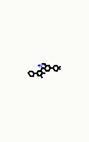 Cc1cc(C2CCCCC2)cc(-c2c3ccc(C4CCC(C)(C)CC4)cc3cc[n+]2C)c1C